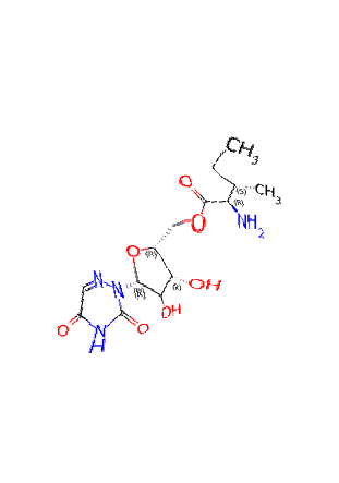 CC[C@H](C)[C@@H](N)C(=O)OC[C@H]1O[C@@H](n2ncc(=O)[nH]c2=O)C(O)[C@H]1O